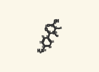 CC(C(=O)O)N(C)C(=O)c1ccc(N)cc1